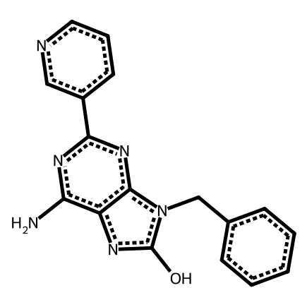 Nc1nc(-c2cccnc2)nc2c1nc(O)n2Cc1ccccc1